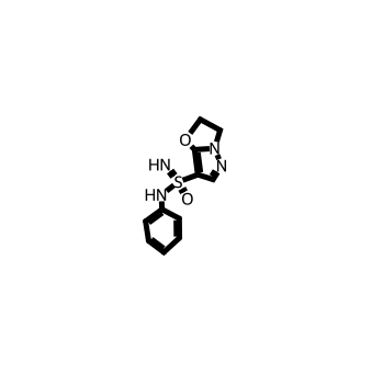 N=S(=O)(Nc1ccccc1)c1cnn2c1OCC2